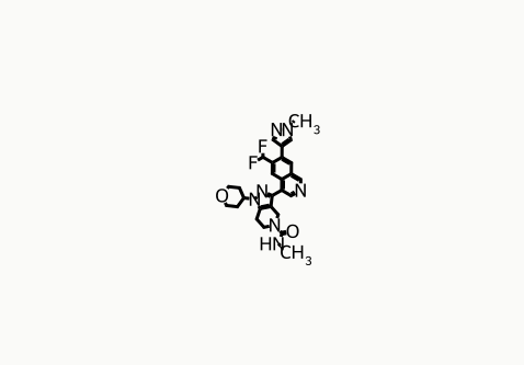 CNC(=O)N1CCc2c(c(-c3cncc4cc(-c5cnn(C)c5)c(C(F)F)cc34)nn2C2CCOCC2)C1